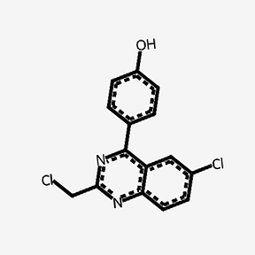 Oc1ccc(-c2nc(CCl)nc3ccc(Cl)cc23)cc1